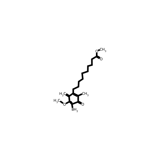 BC1=C(OC)C(=C)C(CCCCCCCCCC(=O)OC)=C(C)C1=O